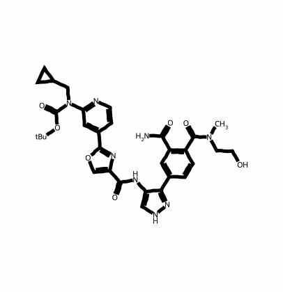 CN(CCO)C(=O)c1ccc(-c2n[nH]cc2NC(=O)c2coc(-c3ccnc(N(CC4CC4)C(=O)OC(C)(C)C)c3)n2)cc1C(N)=O